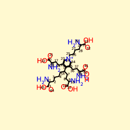 NC(CCCCC(CCC(N)C(=O)O)c1c(CCC(N)C(=O)O)c[n+](CCCCC(N)C(=O)O)cc1CCC(N)C(=O)O)C(=O)O